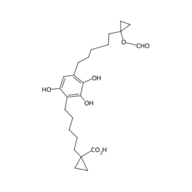 O=COC1(CCCCCc2cc(O)c(CCCCCC3(C(=O)O)CC3)c(O)c2O)CC1